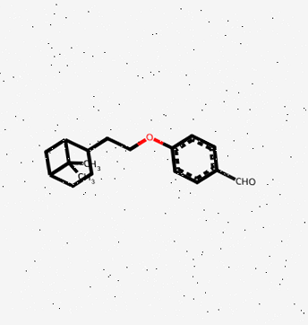 CC1(C)C2CCC(CCOc3ccc(C=O)cc3)C1C2